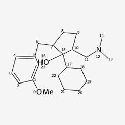 COc1cccc(CC2CCC(CN(C)C)C2(O)C2CCCCC2)c1